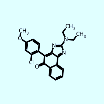 CCN(CC)C1=NC2=C(c3ccc(OC)cc3Cl)C(=O)c3ccccc3C2=N1